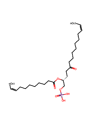 CCCCCCCC/C=C\CCCCCCCC(=O)CC[C@H](COP(=O)(O)O)OC(=O)CCCCCCC/C=C\CCCCCCCC